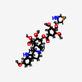 C1CSCN1.COC(=O)[C@H]1[C@H]2C[C@@H]3c4[nH]c5cc(OC)ccc5c4CCN3C[C@H]2C[C@@H](OC(=O)c2cc(OC)c(OC)c(OC)c2)[C@@H]1OC